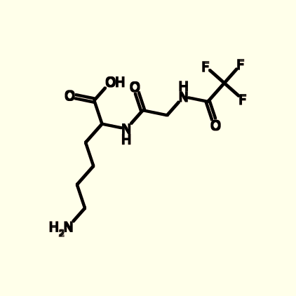 NCCCCC(NC(=O)CNC(=O)C(F)(F)F)C(=O)O